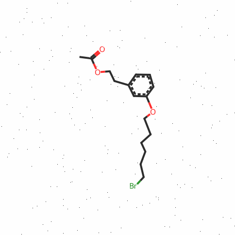 CC(=O)OCCc1cccc(OCCCCCCBr)c1